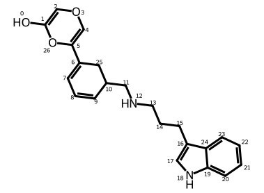 OC1=COC=C(C2=CC=CC(CNCCCc3c[nH]c4ccccc34)C2)O1